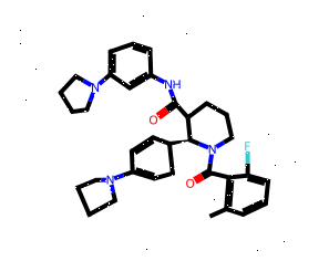 Cc1cccc(F)c1C(=O)N1CCCC(C(=O)Nc2cccc(N3CCCC3)c2)[C@@H]1C1C=CC(N2CCCC2)=CC1